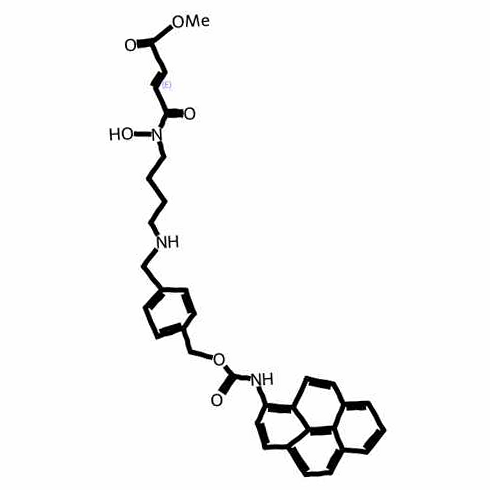 COC(=O)/C=C/C(=O)N(O)CCCCNCc1ccc(COC(=O)Nc2ccc3ccc4cccc5ccc2c3c45)cc1